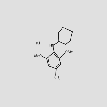 COc1cc(C)cc(OC)c1NC1CCCCC1.Cl